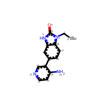 CC(C)(C)Cn1c(=O)[nH]c2cc(-c3cnccc3N)ccc21